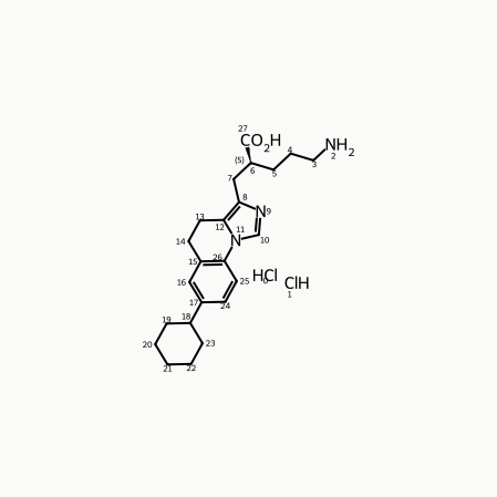 Cl.Cl.NCCC[C@@H](Cc1ncn2c1CCc1cc(C3CCCCC3)ccc1-2)C(=O)O